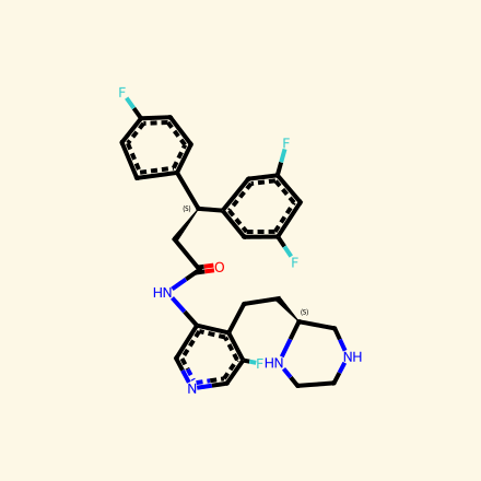 O=C(C[C@@H](c1ccc(F)cc1)c1cc(F)cc(F)c1)Nc1cncc(F)c1CC[C@H]1CNCCN1